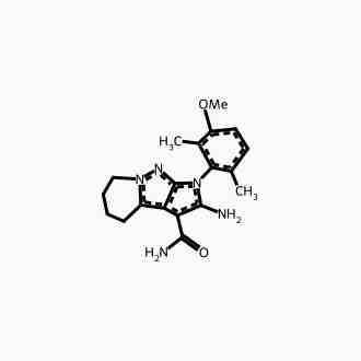 COc1ccc(C)c(-n2c(N)c(C(N)=O)c3c4n(nc32)CCCC4)c1C